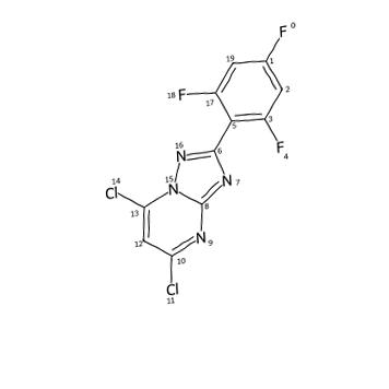 Fc1cc(F)c(-c2nc3nc(Cl)cc(Cl)n3n2)c(F)c1